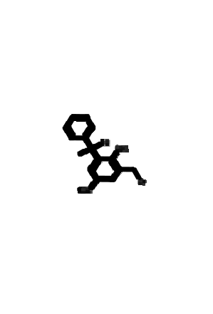 CCC(C)(c1ccccc1)c1cc(C(C)(C)C)cc(CBr)c1O